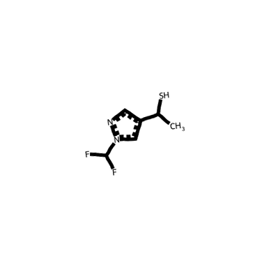 CC(S)c1cnn(C(F)F)c1